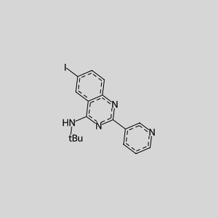 CC(C)(C)Nc1nc(-c2cccnc2)nc2ccc(I)cc12